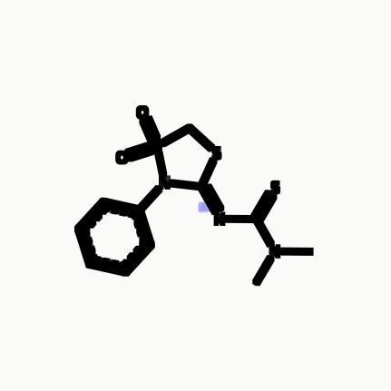 CN(C)C(=S)/N=C1\SCS(=O)(=O)N1c1ccccc1